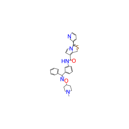 CN1CCC(O/N=C(/c2ccccc2)c2cccc(NC(=O)c3ccn4c3CS[C@@H]4c3cccnc3)c2)CC1